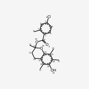 Cc1cc(Cl)ccc1C(=O)OC1(C)CCc2c(C)c(O)c(C)c(C)c2O1